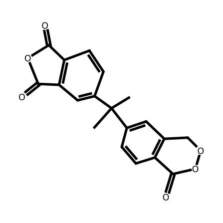 CC(C)(c1ccc2c(c1)COOC2=O)c1ccc2c(c1)C(=O)OC2=O